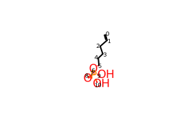 C=CCCCCOP(=O)(O)O